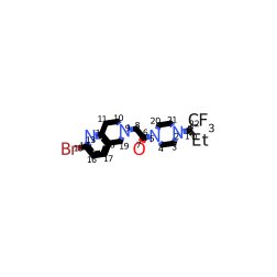 CCC(N1CCN(C(=O)CN2CCc3nc(Br)ccc3C2)CC1)C(F)(F)F